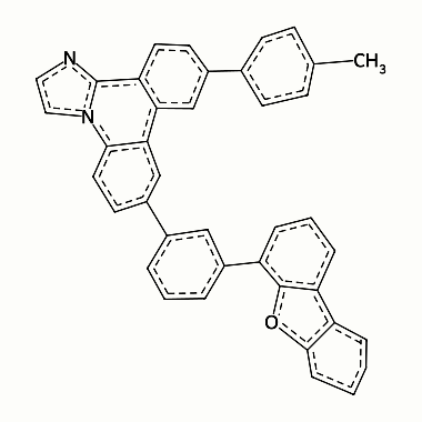 Cc1ccc(-c2ccc3c(c2)c2cc(-c4cccc(-c5cccc6c5oc5ccccc56)c4)ccc2n2ccnc32)cc1